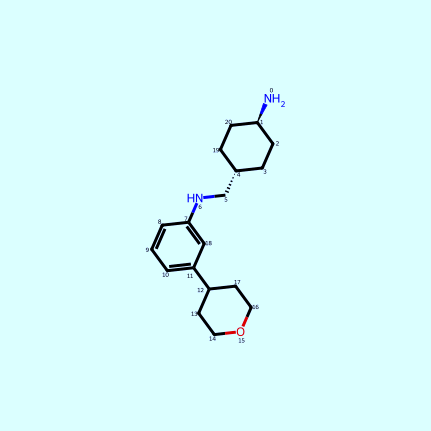 N[C@H]1CC[C@H](CNc2cccc(C3CCOCC3)c2)CC1